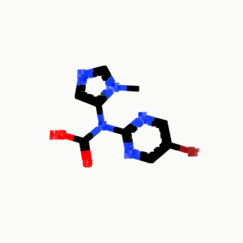 Cn1cncc1N(C(=O)O)c1ncc(Br)cn1